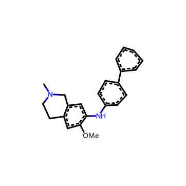 COc1cc2c(cc1Nc1ccc(-c3ccccc3)cc1)CN(C)CC2